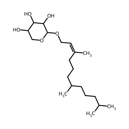 CC(=CCOC1OCC(O)C(O)C1O)CCCC(C)CCCC(C)C